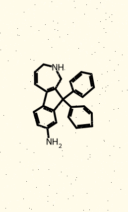 Nc1ccc2c(c1)C(c1ccccc1)(c1ccccc1)C1=C2C=CCNC1